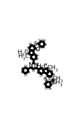 CC1(C)c2cc(-c3nc(-c4ccccc4)cc(-c4ccc5c(c4)C(C)(C)c4ccc6c(c4-5)Sc4ccccc4[Si]6(C)C)n3)ccc2-c2c1ccc1c2Oc2ccccc2S1